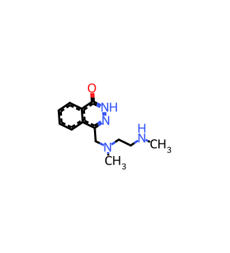 CNCCN(C)Cc1n[nH]c(=O)c2ccccc12